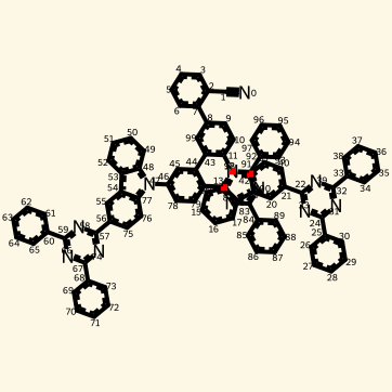 N#Cc1ccccc1-c1ccc(-n2c3ccccc3c3cc(-c4nc(-c5ccccc5)nc(-c5ccccc5)n4)ccc32)c(-c2cc(-n3c4ccccc4c4cc(-c5nc(-c6ccccc6)nc(-c6ccccc6)n5)ccc43)ccc2-c2nc(-c3ccccc3)nc(-c3ccccc3)n2)c1